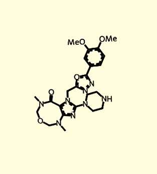 COc1ccc(-c2nnc(Cn3c(N4CCNCC4)nc4c3C(=O)N(C)COCN4C)o2)cc1OC